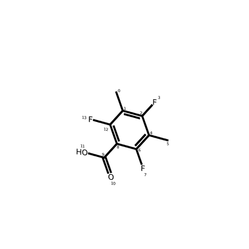 Cc1c(F)c(C)c(F)c(C(=O)O)c1F